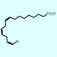 CC/C=C\C/C=C\C/C=C\CCCCCCCC(=O)OCC